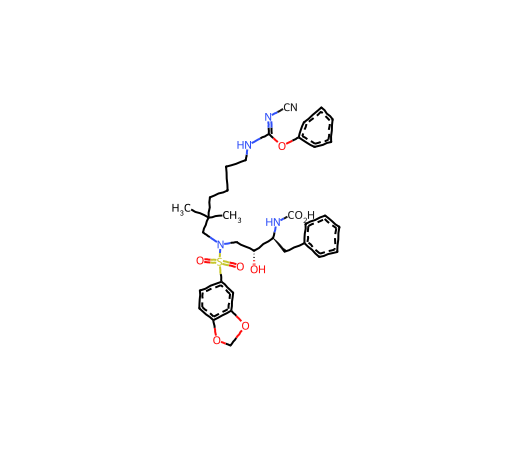 CC(C)(CCCCN/C(=N/C#N)Oc1ccccc1)CN(C[C@@H](O)[C@H](Cc1ccccc1)NC(=O)O)S(=O)(=O)c1ccc2c(c1)OCO2